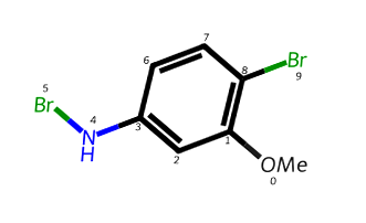 COc1cc(NBr)ccc1Br